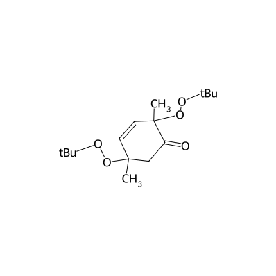 CC(C)(C)OOC1(C)C=CC(C)(OOC(C)(C)C)C(=O)C1